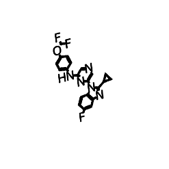 Fc1ccc2c(c1)nc(C1CC1)n2-c1cncc(Nc2ccc(OC(F)F)cc2)n1